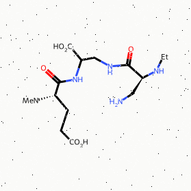 CCN[C@@H](CN)C(=O)NCC(NC(=O)[C@H](CCC(=O)O)NC)C(=O)O